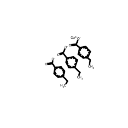 CCc1ccc(C(=O)[O-])cc1.CCc1ccc(C(=O)[O-])cc1.CCc1ccc(C(=O)[O-])cc1.[Ga+3]